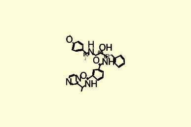 COc1ccc([C@@H](C)NC[C@@H](O)[C@H](Cc2ccccc2)NC(=O)c2cccc(C(=O)NC(C)c3cnccn3)c2)cc1